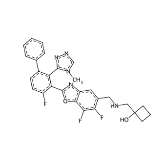 Cn1cnnc1-c1c(-c2ccccc2)ccc(F)c1-c1nc2cc(CNCC3(O)CCC3)c(F)c(F)c2o1